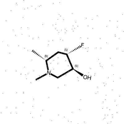 C[C@@H]1C[C@H](F)[C@@H](O)CN1C